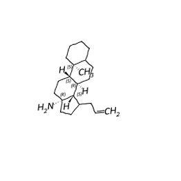 C=CCC1CC[C@@]2(N)CC[C@H]3[C@@H](CCC4CCCC[C@@]43C)[C@H]12